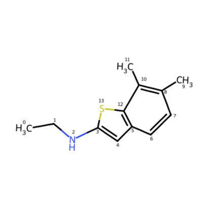 CCNc1cc2ccc(C)c(C)c2s1